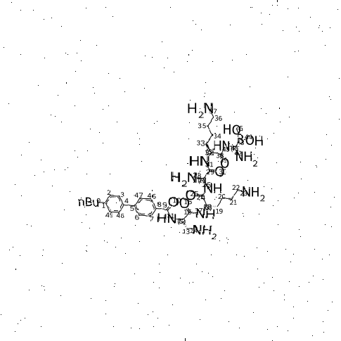 CCCCc1ccc(-c2ccc(C(=O)N[C@@H](CN)C(=O)N[C@@H](CCCCN)C(=O)N[C@@H](N)C(=O)N[C@@H](CCCCN)C(=O)N[C@@H](N)B(O)O)cc2)cc1